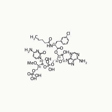 C=CCCC(=O)N[C@@H](Cc1cccc(Cl)c1)C(=O)O[C@H]1[C@@H](O)[C@H](n2cnc3c(N)ncnc32)O[C@@H]1COP(=O)(O)O[C@@H]([C@@H](O)n1ccc(N)nc1=O)[C@@H](COP(=O)(O)O)OC